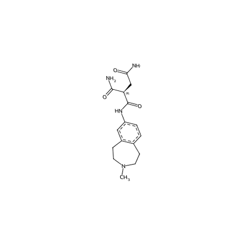 CN1CCc2ccc(NC(=O)[C@H](CC([NH])=O)C(N)=O)cc2CC1